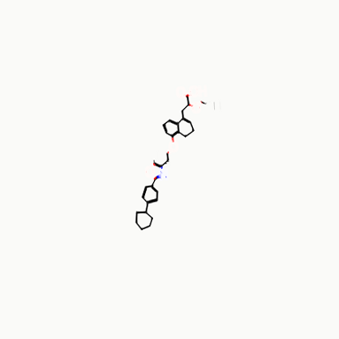 CCOC(CC1=CCCc2c(OCCc3nc(-c4ccc(C5CCCCC5)cc4)oc3C)cccc21)C(=O)O